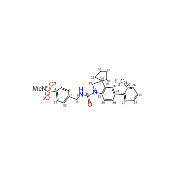 CNS(=O)(=O)c1ccc(CNC(=O)N2CC3(CCCC3)c3cc(-c4ccccc4C(F)(F)F)ccc32)cc1